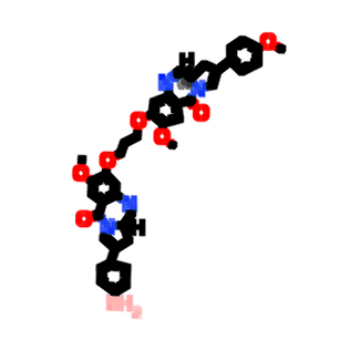 Bc1ccc(C2=CN3C(=O)c4cc(OC)c(OCCCOc5cc6c(cc5OC)C(=O)N5C=C(c7ccc(OC)cc7)C[C@H]5C=N6)cc4N=C[C@@H]3C2)cc1